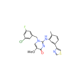 COc1cn(Cc2cc(F)cc(Cl)c2)c(Nc2cc(-c3cscn3)ccc2C)nc1=O